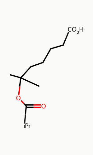 CC(C)C(=O)OC(C)(C)CCCCC(=O)O